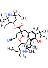 CCC1(C)CC(OC(=O)C(CCC#N)(Cc2cc(C(C)C)c(O)c(C(C)(C)C)c2)C(=O)OC2CC(C)(CC)NC(C)(C)C2C)C(C)C(C)(C)N1